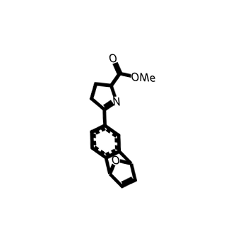 COC(=O)C1CCC(c2ccc3c(c2)C2C=CC3O2)=N1